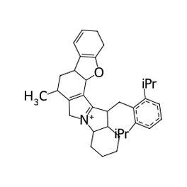 CC1CC2C3=C(CCC=C3)OC2C2=C1C[N+]1=C2C(Cc2c(C(C)C)cccc2C(C)C)C2CCCCC21